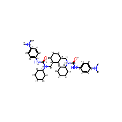 CN(C)c1ccc(NC(=O)N(C[C@@H]2CCC[C@H](CN(C(=O)Nc3ccc(N(C)C)cc3)C3CCCCC3)C2)C2CCCCC2)cc1